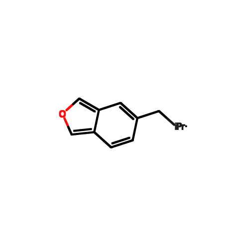 C[C](C)Cc1ccc2cocc2c1